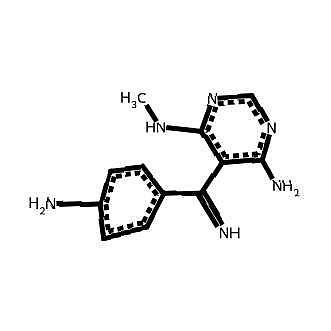 CNc1ncnc(N)c1C(=N)c1ccc(N)cc1